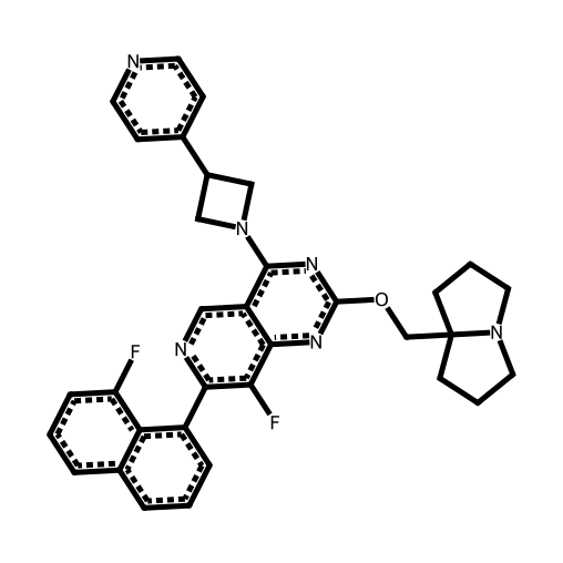 Fc1c(-c2cccc3cccc(F)c23)ncc2c(N3CC(c4ccncc4)C3)nc(OCC34CCCN3CCC4)nc12